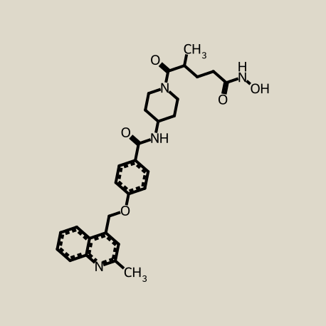 Cc1cc(COc2ccc(C(=O)NC3CCN(C(=O)C(C)CCC(=O)NO)CC3)cc2)c2ccccc2n1